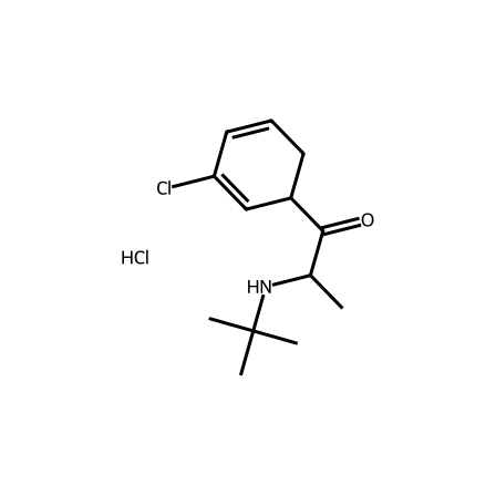 CC(NC(C)(C)C)C(=O)C1C=C(Cl)C=CC1.Cl